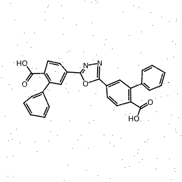 O=C(O)c1ccc(-c2nnc(-c3ccc(C(=O)O)c(-c4ccccc4)c3)o2)cc1-c1ccccc1